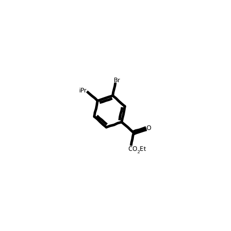 CCOC(=O)C(=O)c1ccc(C(C)C)c(Br)c1